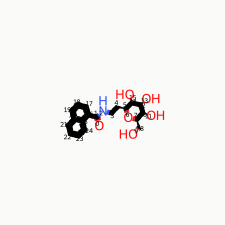 O=C(NCC[C@@H]1O[C@H](CO)[C@@H](O)[C@H](O)[C@H]1O)c1cccc2ccccc12